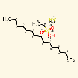 CCCCCCCCCCCCCCC.CCS(=O)(=O)O.[Na+].[SH-]